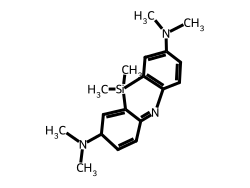 CN(C)c1ccc2c(c1)[Si](C)(C)C1=CC(N(C)C)C=CC1=N2